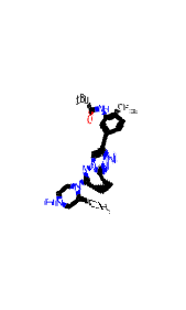 CC1CNCCN1c1ccc2nc(-c3ccc(C(F)(F)F)c(NC(=O)C(C)(C)C)c3)cn2n1